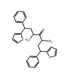 CC(CC(c1ccccc1)c1cccs1)C(=O)C(C)CC(c1ccccc1)c1cccs1